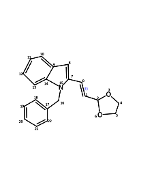 C(=C\C1OCCO1)/c1cc2ccccc2n1Cc1ccccc1